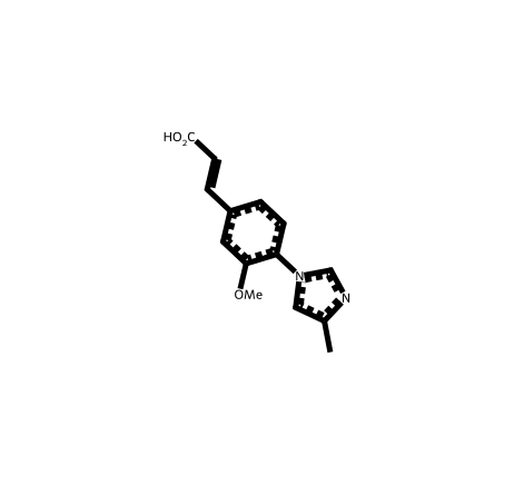 COc1cc(C=CC(=O)O)ccc1-n1cnc(C)c1